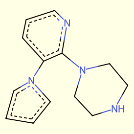 c1cnc(N2CCNCC2)c(-n2cccc2)c1